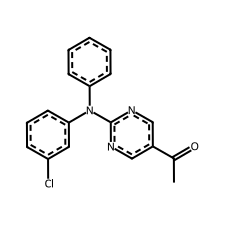 CC(=O)c1cnc(N(c2ccccc2)c2cccc(Cl)c2)nc1